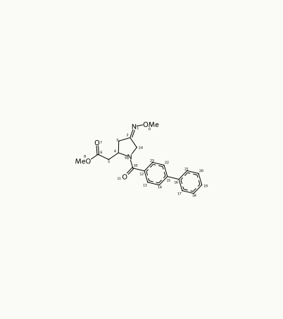 CON=C1CC(CC(=O)OC)N(C(=O)c2ccc(-c3ccccc3)cc2)C1